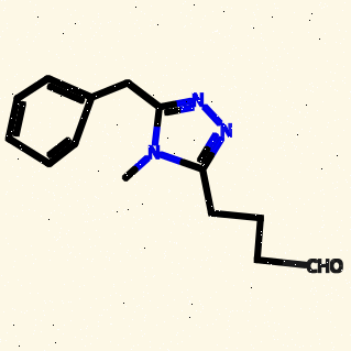 Cn1c(CCCC=O)nnc1Cc1ccccc1